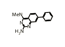 CNc1nc(N)nc2cc(-c3[c]cccc3)ccc12